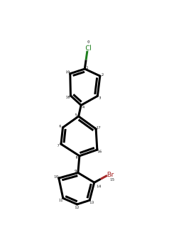 Clc1ccc(-c2ccc(-c3ccccc3Br)cc2)cc1